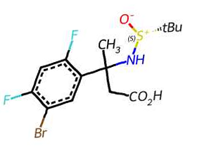 CC(CC(=O)O)(N[S@+]([O-])C(C)(C)C)c1cc(Br)c(F)cc1F